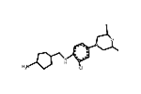 CC1CN(c2ccc(NCC3CCC(N)CC3)c(Cl)c2)CC(C)O1